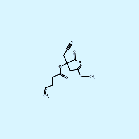 C=CCCC(=O)NC(CC#N)(CC(=O)SC)C(=O)O